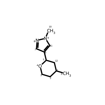 CC1CCOC(c2cnn(C)c2)C1